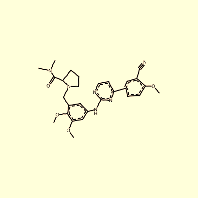 COc1ccc(-c2ccnc(Nc3cc(CN4CCCC4C(=O)N(C)C)c(OC)c(OC)c3)n2)cc1C#N